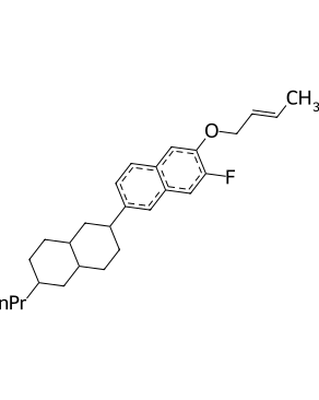 CC=CCOc1cc2ccc(C3CCC4CC(CCC)CCC4C3)cc2cc1F